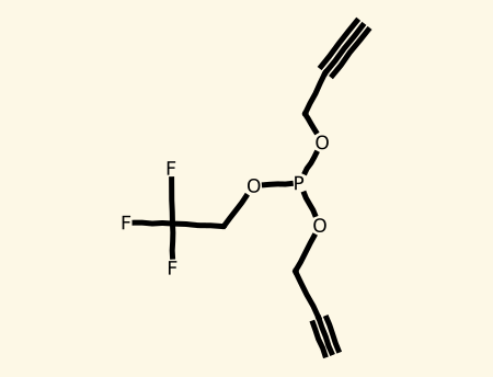 C#CCOP(OCC#C)OCC(F)(F)F